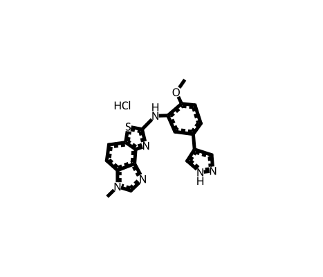 COc1ccc(-c2cn[nH]c2)cc1Nc1nc2c(ccc3c2ncn3C)s1.Cl